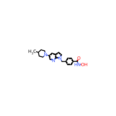 CC1CCN(c2cnc3c(ccn3Cc3ccc(C(=O)NO)cc3)c2)CC1